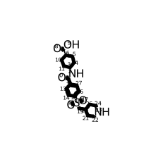 O=C(N[C@H]1CC[C@H](C(=O)O)CC1)c1ccc(S(=O)(=O)CC2CCNCC2)cc1